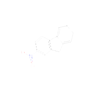 O=[N+]([O-])c1ccc2c(c1)CC1=CCCC=C12